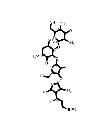 CC(=O)NCC[C@@H](O)C1C(O)O[C@H](OC2C(O)[C@H](OC3C(O)[C@H](N)CC(N)[C@H]3O[C@H]3OC(CN)[C@@H](O)C(O)C3N)O[C@@H]2CO)C1N